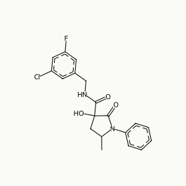 CC1CC(O)(C(=O)NCc2cc(F)cc(Cl)c2)C(=O)N1c1ccccc1